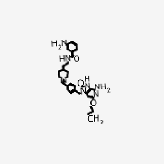 CCCCOc1cc2c([nH]c(=O)n2Cc2ccc(CN3CCC(CCNC(=O)c4cccc(N)c4)CC3)cc2)c(N)n1